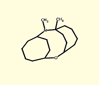 CN1C2CCCCC(CC2)OC2CCCCC1(C)CC2